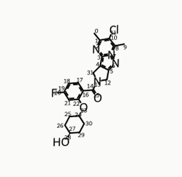 Cc1nc2c3c(nn2c(C)c1Cl)CN(C(=O)c1ccc(F)cc1O[C@H]1CC[C@H](O)CC1)C3